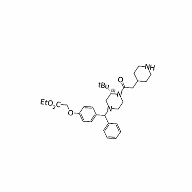 CCOC(=O)COc1ccc(C(c2ccccc2)N2CCN(C(=O)CC3CCNCC3)[C@@H](C(C)(C)C)C2)cc1